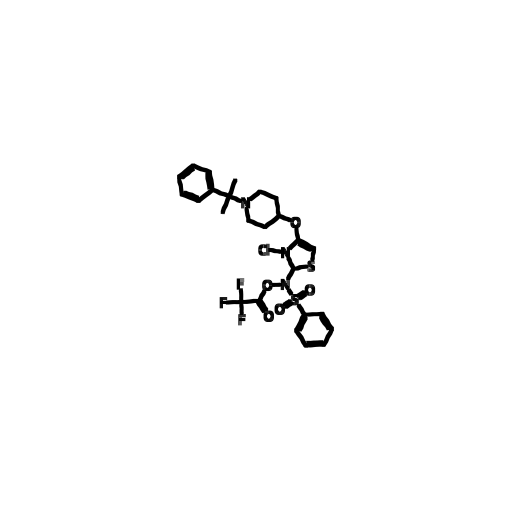 CC(C)(c1ccccc1)N1CCC(OC2=CSC(N(OC(=O)C(F)(F)F)S(=O)(=O)c3ccccc3)N2Cl)CC1